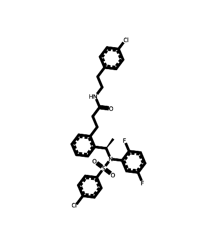 C[C@H](c1ccccc1CCC(=O)NCCc1ccc(Cl)cc1)N(c1cc(F)ccc1F)S(=O)(=O)c1ccc(Cl)cc1